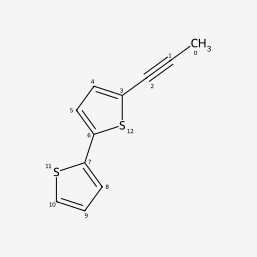 CC#Cc1ccc(-c2cccs2)s1